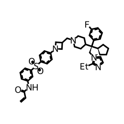 C=CC(=O)Nc1cccc(S(=O)(=O)c2ccc(N3CC(CN4CCC([C@](Cn5ccnc5CC)(c5cccc(F)c5)[C@@H]5[CH]CCC5)CC4)C3)cc2)c1